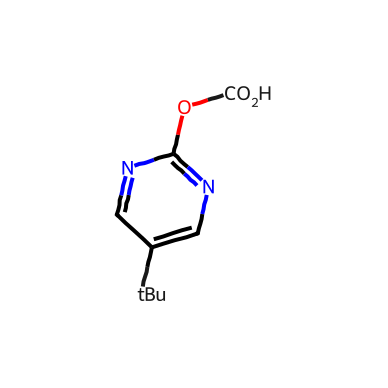 CC(C)(C)c1cnc(OC(=O)O)nc1